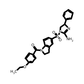 CCOc1ccc(C(=O)N2CCc3cc(S(=O)(=O)N4CC(c5ccccc5)N=C4N)ccc32)cc1